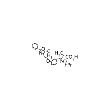 CCCON=C(Cc1cccc(OCCc2nc(-c3ccccc3)oc2C)c1)C(C)C(=O)O